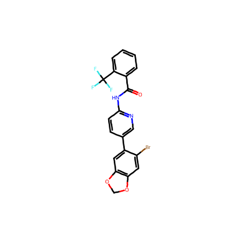 O=C(Nc1ccc(-c2cc3c(cc2Br)OCO3)cn1)c1ccccc1C(F)(F)F